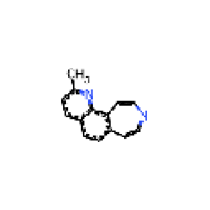 Cc1ccc2ccc3c(c2n1)C=CN=C=C3